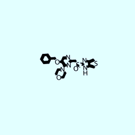 [O-][S+](Cc1ncc(OCc2ccccc2)c(N2CCOCC2)n1)c1nc2cscc2[nH]1